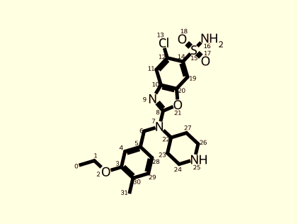 CCOc1cc(CN(c2nc3cc(Cl)c(S(N)(=O)=O)cc3o2)C2CCNCC2)ccc1C